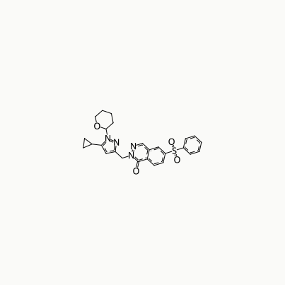 O=c1c2ccc(S(=O)(=O)c3ccccc3)cc2cnn1Cc1cc(C2CC2)n(C2CCCCO2)n1